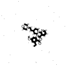 CCc1cc(OC)cc2nc(-c3cccnc3N3CCC(CCN4CCOCC4)CC3)oc(=O)c12